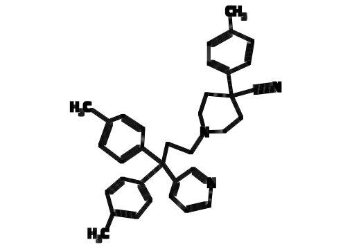 Cc1ccc(C2(C#N)CCN(CCC(c3ccc(C)cc3)(c3ccc(C)cc3)c3cccnc3)CC2)cc1